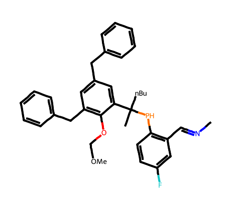 CCCCC(C)(Pc1ccc(F)cc1/C=N/C)c1cc(Cc2ccccc2)cc(Cc2ccccc2)c1OCOC